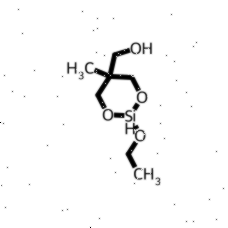 CCO[SiH]1OCC(C)(CO)CO1